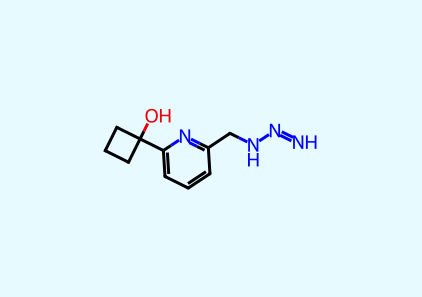 N=NNCc1cccc(C2(O)CCC2)n1